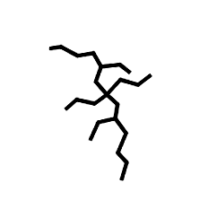 CCCCC(CC)CC(CCC)(CCC)CC(CC)CCCC